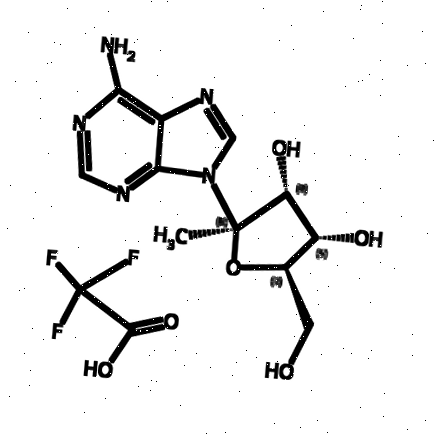 C[C@@]1(n2cnc3c(N)ncnc32)O[C@H](CO)[C@@H](O)[C@H]1O.O=C(O)C(F)(F)F